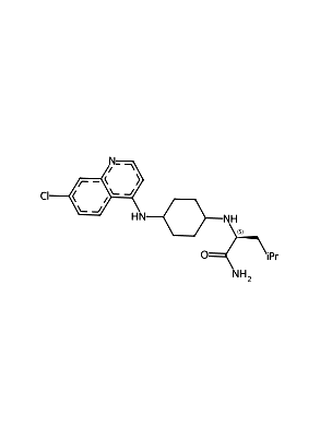 CC(C)C[C@H](NC1CCC(Nc2ccnc3cc(Cl)ccc23)CC1)C(N)=O